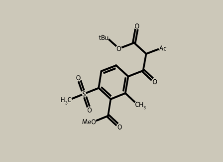 COC(=O)c1c(S(C)(=O)=O)ccc(C(=O)C(C(C)=O)C(=O)OC(C)(C)C)c1C